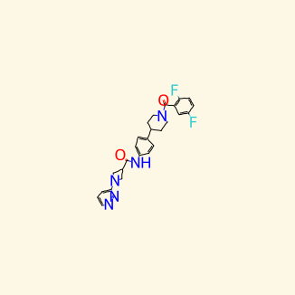 O=C(Nc1ccc(C2CCN(C(=O)c3cc(F)ccc3F)CC2)cc1)C1CN(c2cccnn2)C1